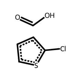 Clc1cccs1.O=CO